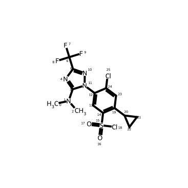 CN(C)c1nc(C(F)(F)F)nn1-c1cc(S(=O)(=O)Cl)c(C2CC2)cc1Cl